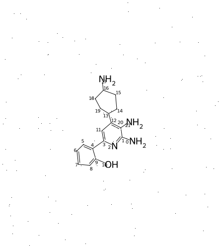 Nc1nc(-c2ccccc2O)cc(C2CCC(N)CC2)c1N